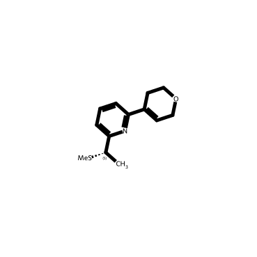 CS[C@@H](C)c1cccc(C2=CCOCC2)n1